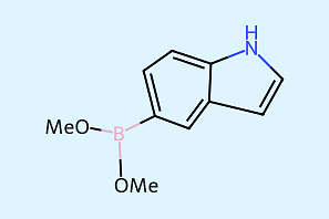 COB(OC)c1ccc2[nH]ccc2c1